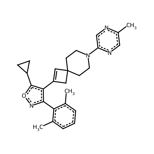 Cc1cnc(N2CCC3(C=C(c4c(-c5c(C)cccc5C)noc4C4CC4)C3)CC2)cn1